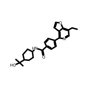 CCc1cnc(-c2ccc(C(=O)NC3CCC(C(C)(C)O)CC3)cc2)c2ccoc12